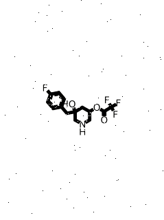 O=C(OC1CNCC(O)(Cc2ccc(F)cc2)C1)C(F)(F)F